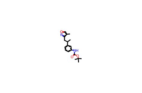 Cc1conc1CC(C)c1cccc(NC(=O)OC(C)(C)C)c1